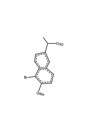 COc1ccc2cc(C(C)C=O)ccc2c1Br